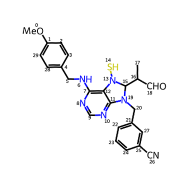 COc1ccc(CNc2ncnc3c2N(S)C(C(C)C=O)N3Cc2cccc(C#N)c2)cc1